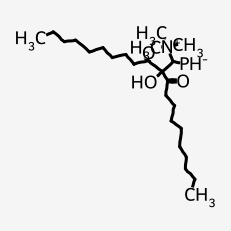 CCCCCCCCCC(=O)C(O)(C(=O)CCCCCCCCC)C([PH-])[N+](C)(C)C